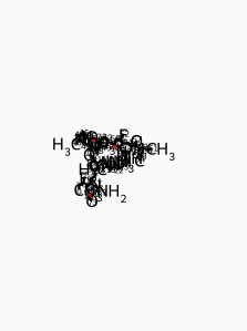 C/C=C(/F)C1=C(/C=C/c2ccc(C=O)c(/C=N\N(C)CC(=N)/C=C\NNC3=Nc4cc(-c5ccc(C=O)c(/C=N\N(C)Cc6nccn6C)c5)cc(F)c4C=C(C(=O)N(CCC)CCC)C3)c2)N=C(N)CC(C=O)=C1